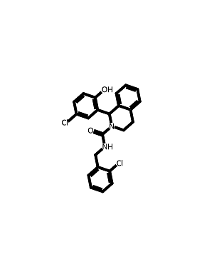 O=C(NCc1ccccc1Cl)N1CCc2ccccc2C1c1cc(Cl)ccc1O